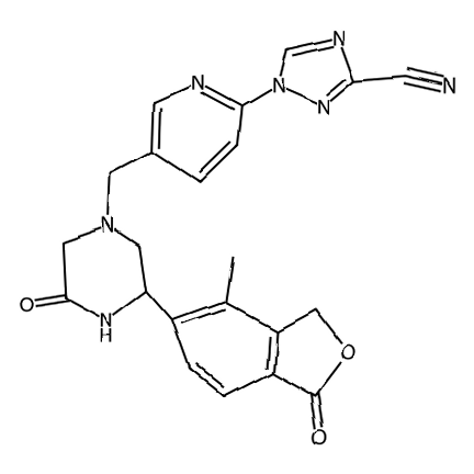 Cc1c(C2CN(Cc3ccc(-n4cnc(C#N)n4)nc3)CC(=O)N2)ccc2c1COC2=O